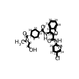 CN(CCO)C(=O)[C@H]1CC[C@H](C(=O)Nc2c(C(=O)Nc3ccc(Cl)cn3)oc3ccccc23)CC1